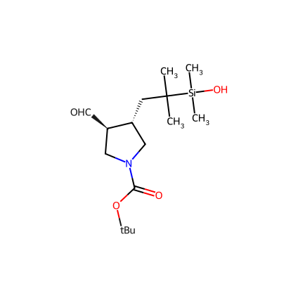 CC(C)(C)OC(=O)N1C[C@@H](CC(C)(C)[Si](C)(C)O)[C@H](C=O)C1